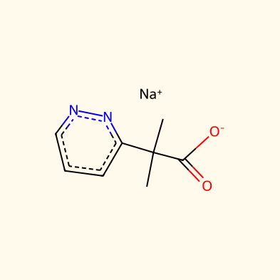 CC(C)(C(=O)[O-])c1cccnn1.[Na+]